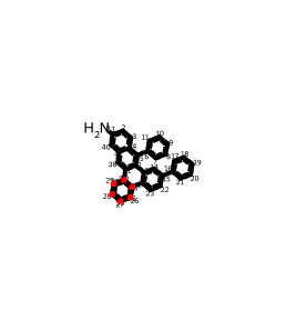 Nc1ccc2c(-c3ccccc3)c(-c3cc(-c4ccccc4)ccc3-c3ccccc3)c(-c3ccccc3)cc2c1